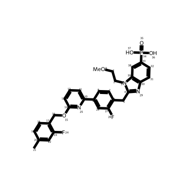 COCCn1c(Cc2ccc(-c3cccc(OCc4ccc(C)cc4F)n3)cc2F)nc2ccc(P(=O)(O)O)cc21